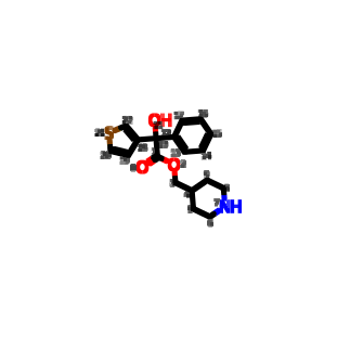 O=C(OCC1CCNCC1)C(O)(c1ccccc1)c1ccsc1